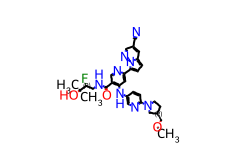 COC[C@@H]1CCN(c2ccc(Nc3cc(-c4ccc5cc(C#N)cnn45)ncc3C(=O)NC[C@@H](F)C(C)(C)O)cn2)C1